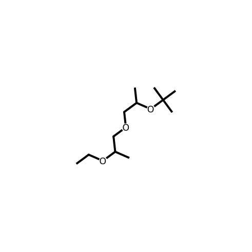 CCOC(C)COCC(C)OC(C)(C)C